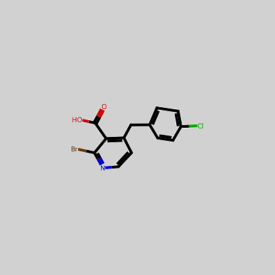 O=C(O)c1c(Cc2ccc(Cl)cc2)ccnc1Br